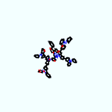 c1ccc(-c2cccc(-c3cc(-c4cccc(-n5c6ccc(-c7ccc8c(c7)c7ccccc7n8-c7ccccc7)cc6c6cc(-c7ccc8c(c7)c7ccccc7n8-c7ccccc7)ccc65)c4)nc(-n4c5ccc(-c6ccc7c(c6)c6ccccc6n7-c6ccccc6)cc5c5cc(-c6ccc7c(c6)c6ccccc6n7-c6ccccc6)ccc54)n3)c2-c2ccccc2)cc1